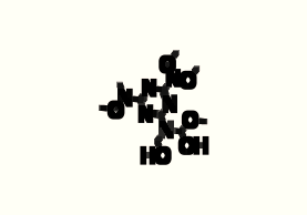 COC(O)N(CO)c1nc(N(C)OC)nc(N(OC)OC)n1